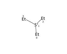 CC[S+](CC)CC